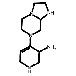 NC1CNCC=C1N1CCN2CCNC2C1